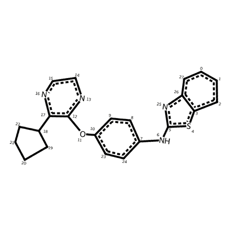 c1ccc2sc(Nc3ccc(Oc4nccnc4C4CCCC4)cc3)nc2c1